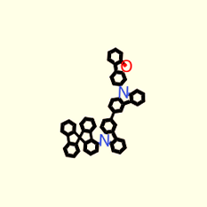 c1ccc2c(c1)-c1ccccc1C21c2ccccc2-c2c(-n3c4ccccc4c4cc(-c5ccc6c(c5)c5ccccc5n6-c5ccc6c(c5)oc5ccccc56)ccc43)cccc21